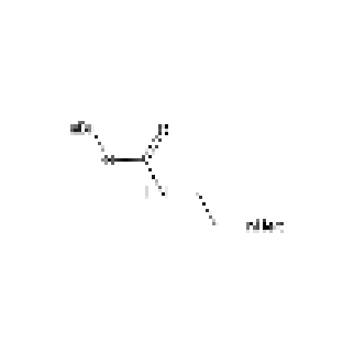 CCCCCCCCNC(=O)[N]CCCC